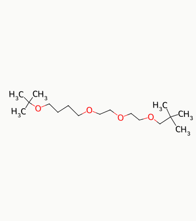 CC(C)(C)COCCOCCOCCCCOC(C)(C)C